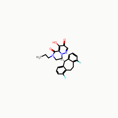 CCCN1C[C@@H](C2c3cccc(F)c3CCc3c(F)cccc32)n2ncc(=O)c(O)c2C1=O